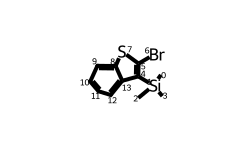 C[Si](C)(C)c1c(Br)sc2ccccc12